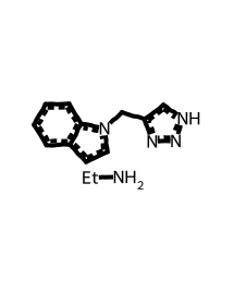 CCN.c1ccc2c(c1)ccn2Cc1c[nH]nn1